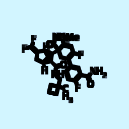 COC1=CC(F)=C(c2ccc(F)c(C(N)=O)c2)CC1(C(N)=O)[C@H]1[C@@H](C(=O)NCC2(C)CCC2)[C@@H]2CC(=C(F)F)[C@@H]1C2